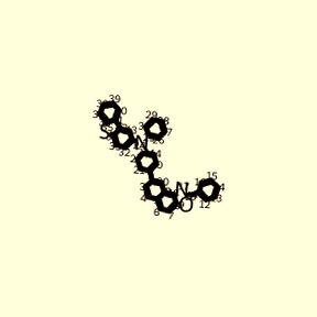 C1=C(c2ccc3ccc4oc(-c5ccccc5)nc4c3c2)CCC(N(c2ccccc2)c2ccc3sc4ccccc4c3c2)=C1